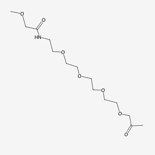 COCC(=O)NCCOCCOCCOCCOCC(C)=O